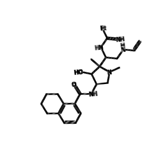 C=CNCC(NC(=N)CC)C1(C)C(O)C(NC(=O)c2cccc3c2CCCC3)CN1C